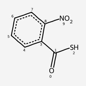 O=C(S)c1ccccc1[N+](=O)[O-]